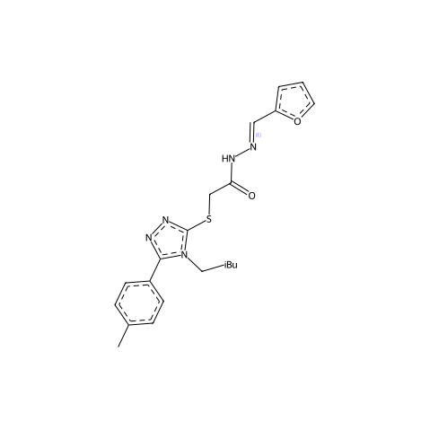 CCC(C)Cn1c(SCC(=O)N/N=C/c2ccco2)nnc1-c1ccc(C)cc1